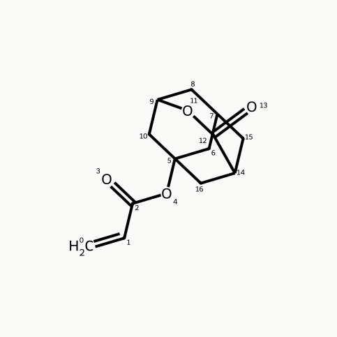 C=CC(=O)OC12CC3CC(C1)OC(=O)C(C3)C2